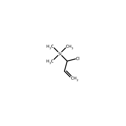 C=CC(Cl)[Si](C)(C)C